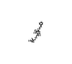 Cc1[nH]cnc1CSCCNc1ncc(OCCCc2ccccc2)c(=O)[nH]1